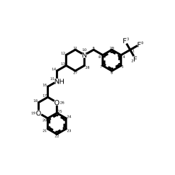 FC(F)(F)c1cccc(CN2CCC(CNCC3COc4ccccc4O3)CC2)c1